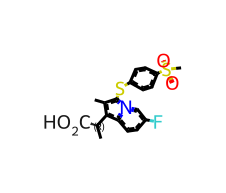 Cc1c([C@@H](C)C(=O)O)c2ccc(F)cn2c1Sc1ccc(S(C)(=O)=O)cc1